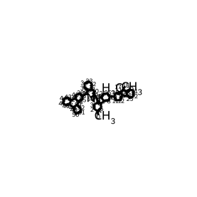 Cc1ccc2c(c1)c1cc(-c3ccc4c(c3)C(C)(C)c3ccccc3-4)ccc1n2-c1cc2ccccc2c(-c2ccc3c4ccccc4c4ccccc4c3c2)n1